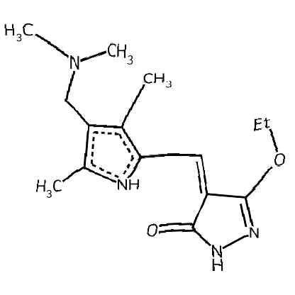 CCOC1=NNC(=O)C1=Cc1[nH]c(C)c(CN(C)C)c1C